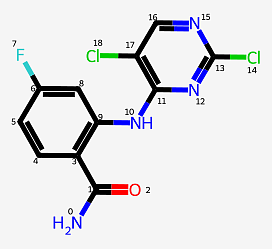 NC(=O)c1ccc(F)cc1Nc1nc(Cl)ncc1Cl